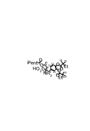 CCCC(C)C(=O)O[C@@H](C)CC(N)(Cc1ccc(OC(=O)C(C)(C)CC)c(OC(=O)C(C)(C)CC)c1)C(=O)O